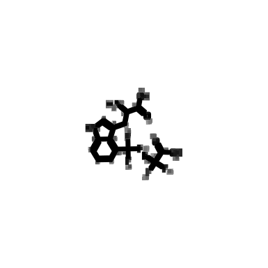 NC(Cc1c[nH]c2cccc(C(F)(F)F)c12)C(=O)O.O=C(O)C(F)(F)F